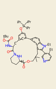 CCc1ccncc1-c1c2c3cc(ccc3n1CC)-c1cc(cc(O[Si](C(C)C)(C(C)C)C(C)C)c1)C[C@H](NC(=O)OC(C)(C)C)C(=O)N1CCC[C@H](N1)C(=O)OCC(C)(C)C2